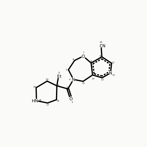 CCC1(C(=O)N2CCOc3c(C#N)cncc3C2)CCNCC1